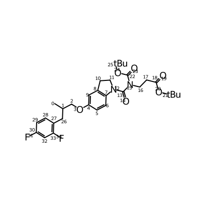 CC(COc1ccc2c(c1)CCN2C(=O)N(CCC(=O)OC(C)(C)C)C(=O)OC(C)(C)C)Cc1ccc(F)cc1F